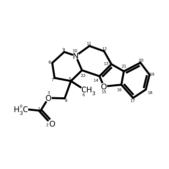 CC(=O)OCC1(C)CCCN2CCc3c(oc4ccccc34)C21